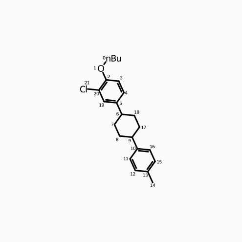 CCCCOc1ccc(C2CCC(c3ccc(C)cc3)CC2)cc1Cl